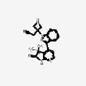 C[C@@]1(O)C(=O)Nc2nccc(-c3nn(C4(CC#N)CNC4)c4ccccc34)c21